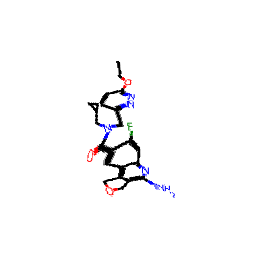 CCOc1ccc(CN(CC2CC2)C(=O)c2cc3c4c(c(N)nc3cc2F)COC4)nn1